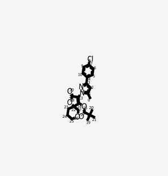 Cc1cc(-c2ccc(Cl)cc2)nn1C1=C(OC(=O)C(C)(C)C)C2(CCCOC2)OC1=O